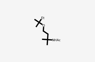 CCC(C)(C)OCCC(C)(C)NC(C)=O